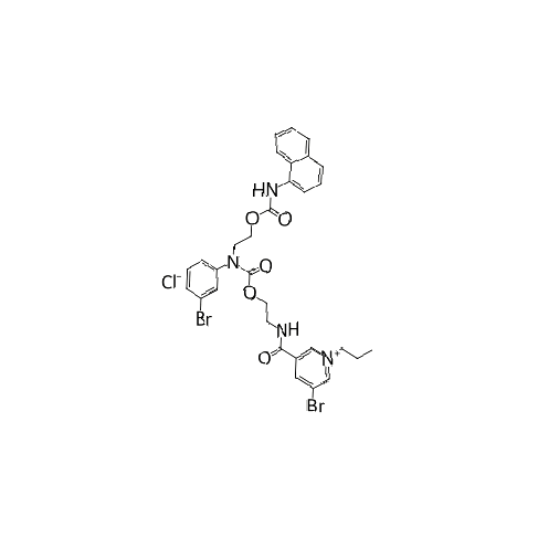 CCC[n+]1cc(Br)cc(C(=O)NCCOC(=O)N(CCOC(=O)Nc2cccc3ccccc23)c2cccc(Br)c2)c1.[Cl-]